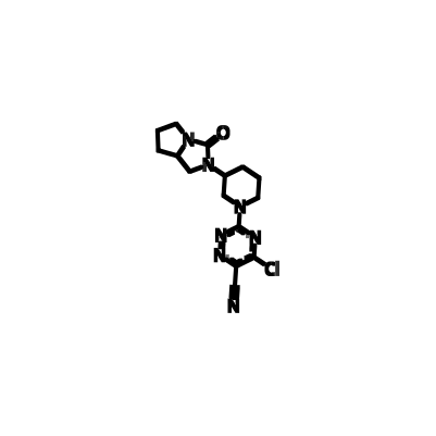 N#Cc1nnc(N2CCCC(N3CC4CCCN4C3=O)C2)nc1Cl